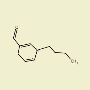 CCCCN1C=CCC([C]=O)=C1